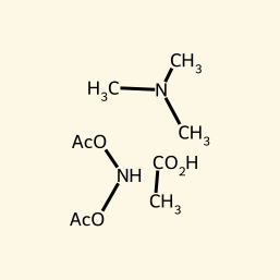 CC(=O)O.CC(=O)ONOC(C)=O.CN(C)C